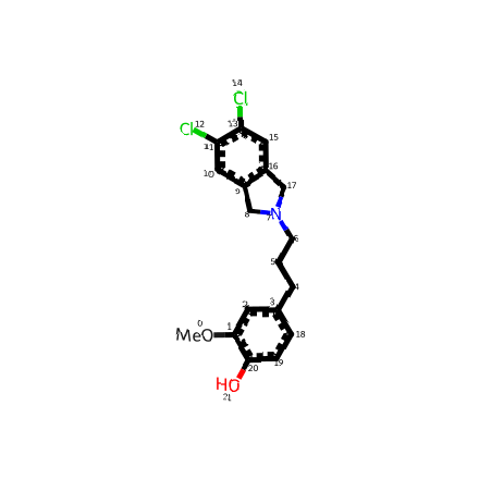 COc1cc(CCCN2Cc3cc(Cl)c(Cl)cc3C2)ccc1O